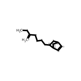 C=C(CC)CCCCC1CC2C=CC1C2